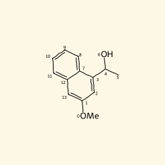 COc1cc(C(C)O)c2ccccc2c1